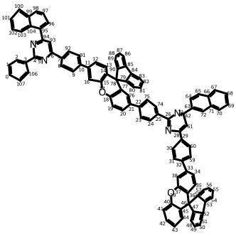 c1ccc(-c2nc(-c3ccc(-c4ccc5c(c4)Oc4ccc(-c6ccc(-c7nc(-c8ccc(-c9ccc%10c(c9)Oc9ccccc9C%109c%10ccccc%10-c%10ccccc%109)cc8)cc(-c8ccc9ccccc9c8)n7)cc6)cc4C54c5ccccc5-c5ccccc54)cc3)cc(-c3cccc4ccccc34)n2)cc1